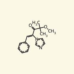 COC(C)(C)C(=O)C(=Cc1ccccc1)n1ccnc1